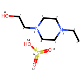 CCN1CCN(CCO)CC1.O=[SH](=O)O